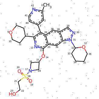 Cc1cc(-c2c(C3CCOCC3)nc(OC3CN(S(=O)(=O)CCO)C3)c3cc4c(cnn4C4CCCCO4)cc23)ccn1